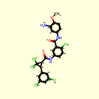 COc1ccc(NC(=O)c2cc(NC(=O)C3C(c4cc(Cl)cc(Cl)c4)C3(Cl)Cl)ccc2Cl)cc1N